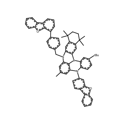 Cc1cc2c3c(c1)N(c1ccc4c(c1)oc1ccccc14)c1ccc(C(C)(C)C)cc1B3c1cc3c(cc1N2Cc1ccc(-c2cccc4c2oc2ccccc24)cc1)C(C)(C)CCC3(C)C